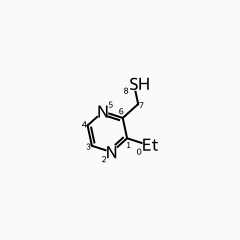 CCc1nccnc1CS